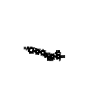 CCc1cc(O)c(F)cc1-c1ccc2c(-c3nc4c([nH]3)CCN(c3cnc(N5CCCN(C)CC5)cn3)C4)n[nH]c2c1